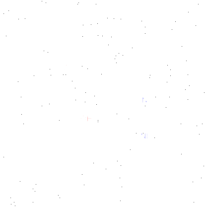 Nc1cc(C2(O)CCOC2)ccn1